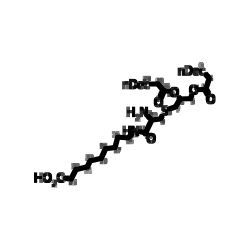 CCCCCCCCCCCC(=O)OCC(CSCC(N)C(=O)NCCCCCCCCCC(=O)O)OC(=O)CCCCCCCCCCC